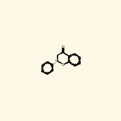 O=C1C[C@@H](c2ccccc2)Oc2ccccc21